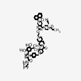 C=CC(=O)N1CCN(c2nc(OCCN3CCC4(CC3)CCN(C(=O)C3CCN(Cc5ccc(-n6c(C(=O)NCC(F)(F)F)nnc6-c6cc(C(C)C)c(O)cc6O)cc5)CC3)CC4)nc3c2CCN(c2cccc4cccc(Cl)c24)C3)C[C@@H]1CC#N